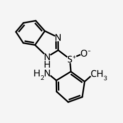 Cc1cccc(N)c1[S+]([O-])c1nc2ccccc2[nH]1